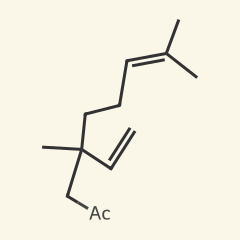 C=CC(C)(CCC=C(C)C)CC(C)=O